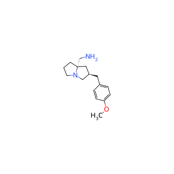 COc1ccc(C[C@H]2CN3CCC[C@@]3(CN)C2)cc1